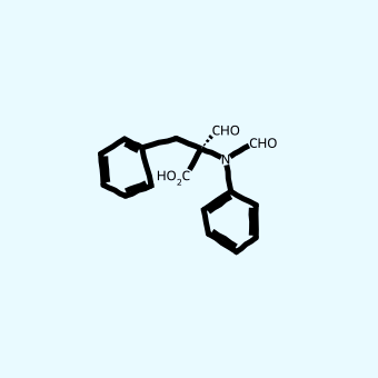 O=CN(c1ccccc1)[C@](C=O)(Cc1ccccc1)C(=O)O